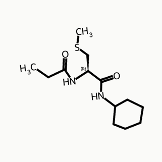 CCC(=O)N[C@@H](CSC)C(=O)NC1CCCCC1